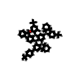 Cc1cc(C(C)(C)C)cc(C)c1N1c2cc(N3c4ccc(C(C)(C)C)cc4C4(C)CCCCC34C)cc3c2B(c2ccc4c(c21)C(C)(C)c1ccccc1-4)c1cc(-c2ccc(C(C)(C)C)cc2)cc2c1N3C1(C)CCCCC21C